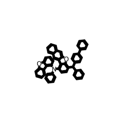 c1ccc(-c2ccc(C(c3ccccc3)c3ccc(N(c4ccccc4)c4cccc5oc6ccccc6c45)c4c3oc3cc5ccccc5cc34)cc2)cc1